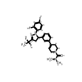 CN(C)C(=O)N1CC=C(c2cccc(C3CC(C(F)(F)C(F)(F)F)=NN3c3ccc(F)cc3F)c2)CC1